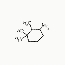 CC1C(N)CCCC1(N)O